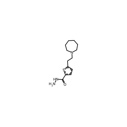 NNC(=O)c1ccc(CCN2CCCCCC2)s1